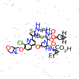 CC[C@@H]1C[C@]1(NC(=O)[C@@H]1C[C@@H](Oc2cc(-c3csc(NC(C)C)n3)nc3c(Cl)c(OC[C@@H]4COCCN4C)ccc23)CN1C(=O)[C@@H](NC(=O)O[C@@H]1C[C@@H]2C[C@@H]2C1)C(C)(C)C)C(=O)O